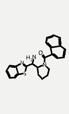 NC(c1nc2ccccc2s1)C1CCCCN1C(=O)c1cccc2ccccc12